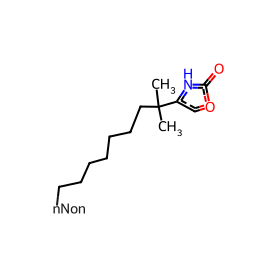 CCCCCCCCCCCCCCCCC(C)(C)c1coc(=O)[nH]1